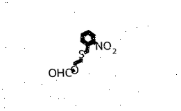 O=COCCSCc1ccccc1[N+](=O)[O-]